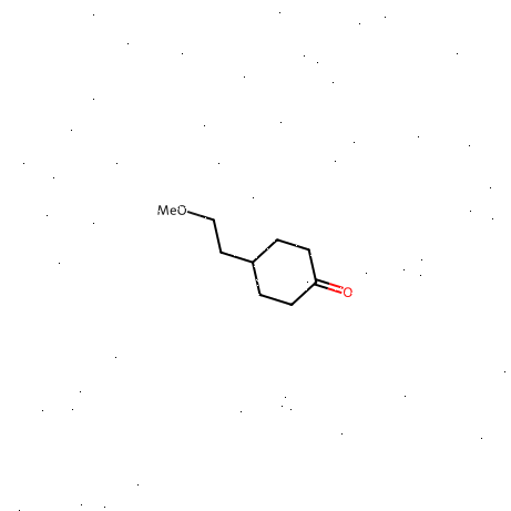 COCCC1CCC(=O)CC1